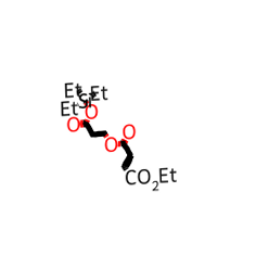 CCOC(=O)C=CC(=O)OCCC(=O)O[Si](CC)(CC)CC